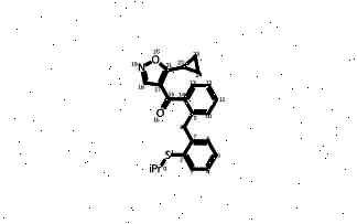 CC(C)Sc1ccccc1Cc1ccccc1C(=O)c1cnoc1C1CC1